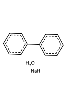 O.[NaH].c1ccc(-c2ccccc2)cc1